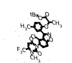 Cc1ccc(OC(C)C(=O)OC(C)(C)C)c(-c2noc3ccc(-n4c(=O)cc(C(F)(F)F)n(C)c4=O)c(Cl)c23)c1